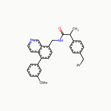 COc1cccc(-c2ccc(CNC(=O)C(C)c3ccc(CC(C)C)cc3)c3cnccc23)c1